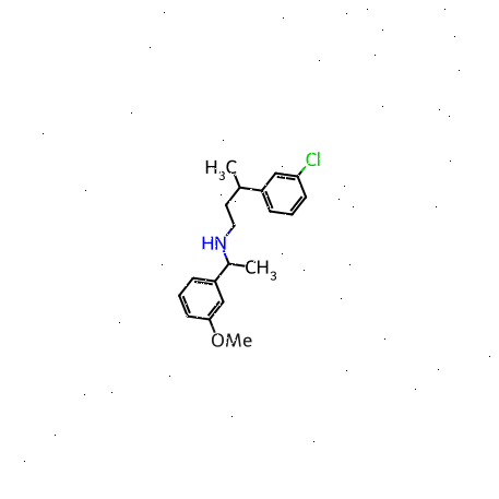 COc1cccc(C(C)NCCC(C)c2cccc(Cl)c2)c1